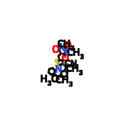 CN1C(=O)C(=Cc2cc3c(s2)N2c4ccccc4C(C)(C)c4cccc(c42)C3(C)C#N)C(=O)N(C)C1=O